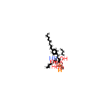 CCCC.CCCCCCCCc1ccc(CC(NC(=O)OCCCC)C(O)CO[PH](=O)O)cc1